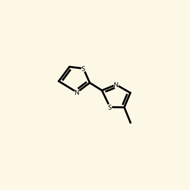 Cc1cnc(-c2nccs2)s1